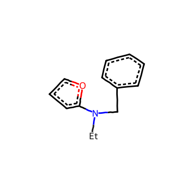 CCN(Cc1ccccc1)c1ccco1